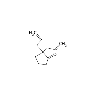 C=CCC1(CC=C)CCCC1=O